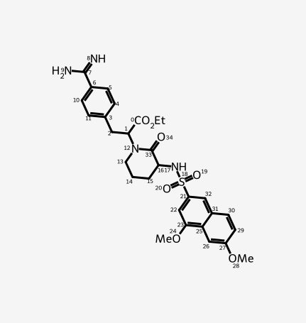 CCOC(=O)C(Cc1ccc(C(=N)N)cc1)N1CCCC(NS(=O)(=O)c2cc(OC)c3cc(OC)ccc3c2)C1=O